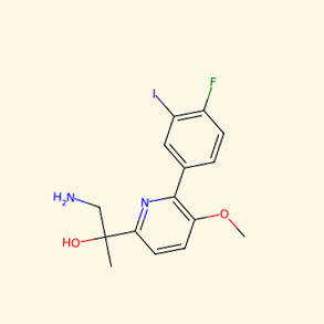 COc1ccc(C(C)(O)CN)nc1-c1ccc(F)c(I)c1